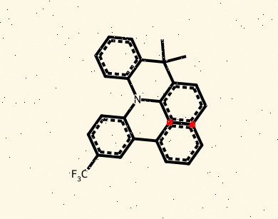 CC1(C)c2ccccc2N(c2ccc(C(F)(F)F)cc2-c2ccccc2)c2ccccc21